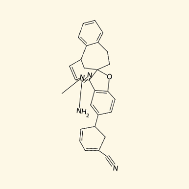 CN1C2=CC3CC4(CCc5ccccc53)Oc3ccc(C5C=CC=C(C#N)C5)cc3C24N=C1N